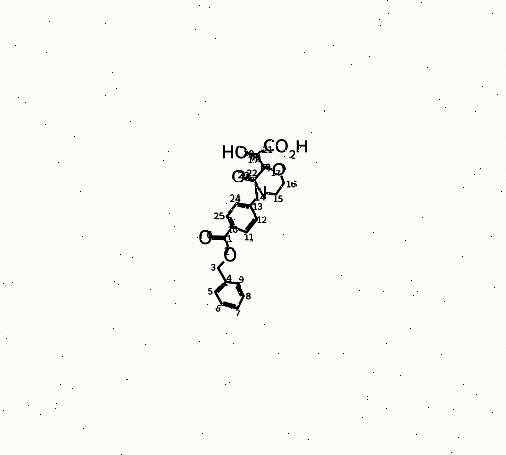 O=C(OCc1ccccc1)c1ccc(N2CCO[C@H]([C@@H](O)C(=O)O)C2=O)cc1